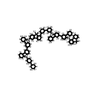 CC1(C)c2ccccc2-c2c(-n3c4ccccc4c4cc(-c5ccc6c(c5)c5ccccc5n6-c5cccc(-c6cccc(-c7cccc8c7C(C)(C)c7ccc(-n9c%10ccccc%10c%10cc(-c%11ccc%12c(c%11)c%11ccccc%11n%12-c%11ccc(-c%12ccccc%12)cc%11)ccc%109)cc7-8)c6)c5)ccc43)cccc21